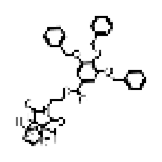 O=C(OCCN1C(=O)[C@@H]2[C@H](C1=O)[C@H]1C=C[C@@H]2C1)c1cc(OCc2ccccc2)c(OCc2ccccc2)c(OCc2ccccc2)c1